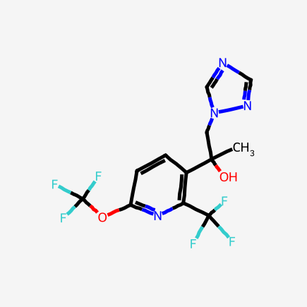 CC(O)(Cn1cncn1)c1ccc(OC(F)(F)F)nc1C(F)(F)F